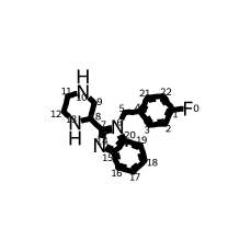 Fc1ccc(Cn2c(C3CNCCN3)nc3ccccc32)cc1